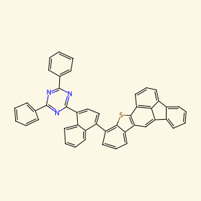 c1ccc(-c2nc(-c3ccccc3)nc(-c3ccc(-c4cccc5c4sc4c6cccc7c6c(cc54)-c4ccccc4-7)c4ccccc34)n2)cc1